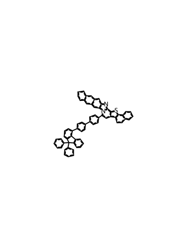 c1ccc(C2(c3ccccc3)c3ccccc3-c3c(-c4ccc(-c5ccc(-c6cc7c8ccc9ccccc9c8sc7c7nc8cc9cc%10ccccc%10cc9cc8n67)cc5)cc4)cccc32)cc1